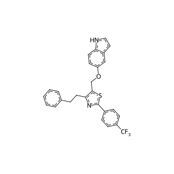 FC(F)(F)c1ccc(-c2nc(CCc3ccccc3)c(COc3ccc4[nH]ccc4c3)s2)cc1